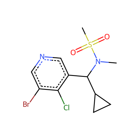 CN(C(c1cncc(Br)c1Cl)C1CC1)S(C)(=O)=O